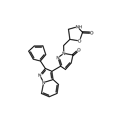 O=C1NCC(Cn2nc(-c3c(-c4ccccc4)nn4ccccc34)ccc2=O)O1